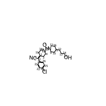 N#CC(=C1CCN(C(=O)N2CCC(CCCO)CC2)CC1)c1ccc(Cl)cc1